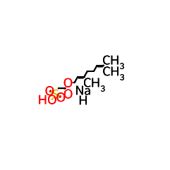 CC(C)=CCC/C(C)=C/COC(=O)CS(=O)(=O)O.[NaH]